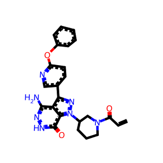 C=CC(=O)N1CCCC(n2nc(-c3ccc(Oc4ccccc4)nc3)c3c(N)n[nH]c(=O)c32)C1